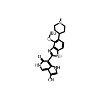 CCC(C)Oc1c(C2CCN(C)CC2)ccc2[nH]c(-c3c(=O)[nH]cc4c(C#N)c[nH]c34)nc12